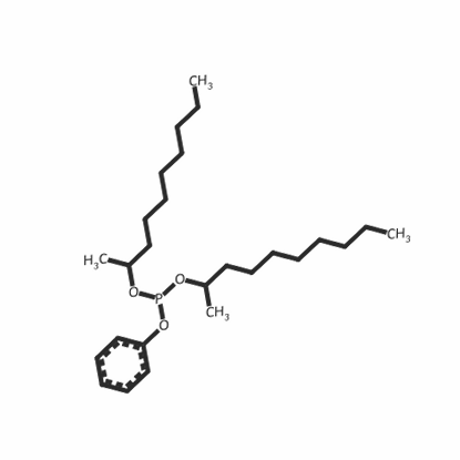 CCCCCCCCC(C)OP(Oc1ccccc1)OC(C)CCCCCCCC